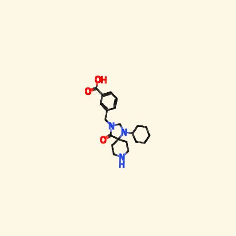 O=C(O)c1cccc(CN2CN(C3CCCCC3)C3(CCNCC3)C2=O)c1